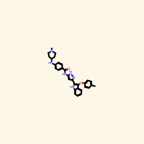 Cc1ccc(Oc2c(-c3cc(NC(=O)c4ccc(NC5CCN(C)CC5)cc4)[nH]n3)[nH]c3ccccc23)cc1